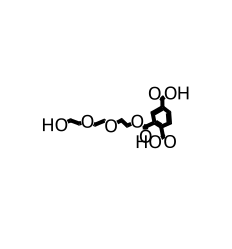 O=C(O)c1ccc(C(=O)O)c(C(=O)OCCOCCOCCO)c1